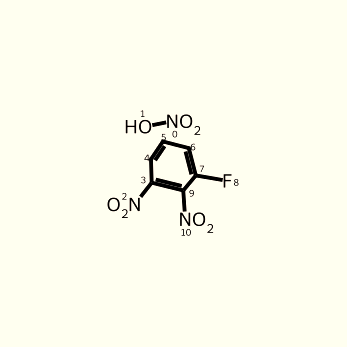 O=[N+]([O-])O.O=[N+]([O-])c1cccc(F)c1[N+](=O)[O-]